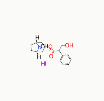 CN1[C@@H]2CC[C@H]1C[C@@H](OC(=O)C(CO)c1ccccc1)C2.I